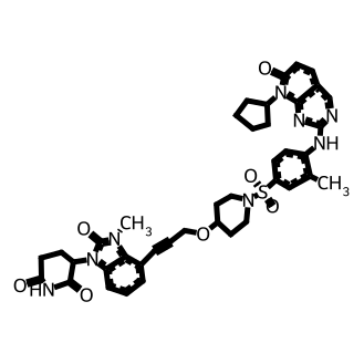 Cc1cc(S(=O)(=O)N2CCC(OCC#Cc3cccc4c3n(C)c(=O)n4C3CCC(=O)NC3=O)CC2)ccc1Nc1ncc2ccc(=O)n(C3CCCC3)c2n1